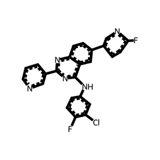 Fc1ccc(-c2ccc3nc(-c4cccnc4)nc(Nc4ccc(F)c(Cl)c4)c3c2)cn1